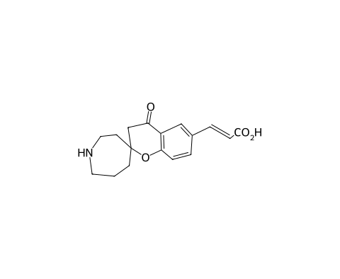 O=C(O)/C=C/c1ccc2c(c1)C(=O)CC1(CCCNCC1)O2